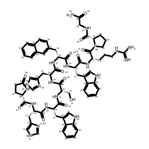 N=C(N)NCCC[C@H](NC(=O)[C@H](Cc1c[nH]c2ccccc12)NC(=O)[C@@H](Cc1ccc2ccccc2c1)NC(=O)[C@H](Cc1c[nH]cn1)NC(=O)[C@H](CO)NC(=O)[C@H](Cc1c[nH]c2ccccc12)NC(=O)[C@H](Cc1c[nH]cn1)NC(=O)[C@@H]1CCC(=O)N1)C(=O)N1CCC[C@H]1C(=O)NCC(N)=O